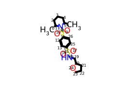 CC1CCCC(C)N1S(=O)(=O)c1ccc(S(=O)(=O)NCC2CCCO2)cc1